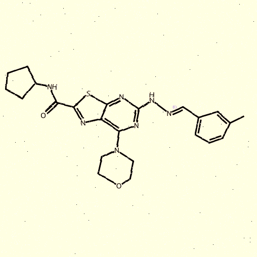 Cc1cccc(/C=N/Nc2nc(N3CCOCC3)c3nc(C(=O)NC4CCCC4)sc3n2)c1